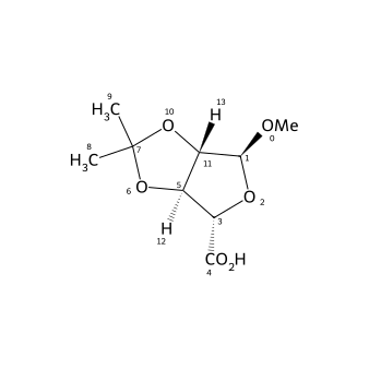 CO[C@H]1O[C@H](C(=O)O)[C@H]2OC(C)(C)O[C@H]12